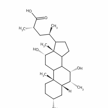 C[C@H]1[C@@H](O)C2C3CCC([C@H](C)C[C@H](C)C(=O)O)[C@@]3(C)[C@@H](O)CC2[C@@]2(C)CC[C@@H](O)C[C@@H]12